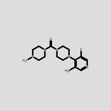 CN1CCN(C(=O)N2CCN(c3c(N)cncc3F)CC2)CC1